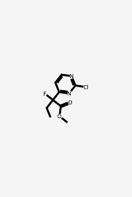 CCC(F)(C(=O)OC)c1ccnc(Cl)n1